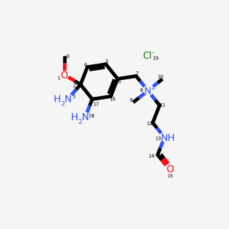 COC1(N)C=CC(C[N+](C)(C)CCNC=O)=CC1N.[Cl-]